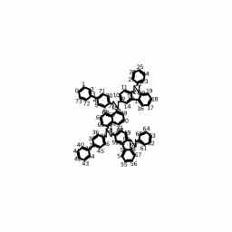 c1ccc(-c2ccc(N(c3ccc4c(c3)c3ccccc3n4-c3ccccc3)c3cccc4c(N(c5ccc(-c6ccccc6)cc5)c5ccc6c(c5)c5ccccc5n6-c5ccccc5)cccc34)cc2)cc1